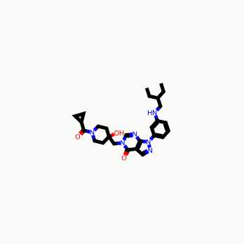 CCC(CC)CNc1cccc(-n2ncc3c(=O)n(CC4(O)CCN(C(=O)C5CC5)CC4)cnc32)c1